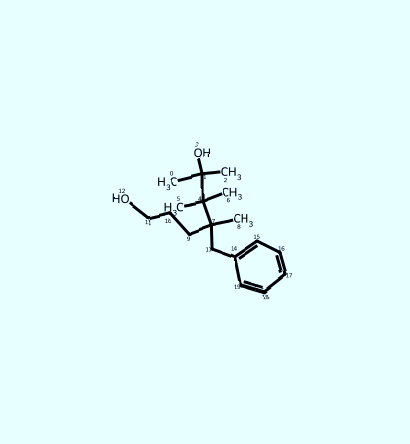 CC(C)(O)C(C)(C)C(C)(CCCO)Cc1ccccc1